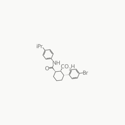 CC(C)c1ccc(NC(=O)[C@@H]2CCC[C@@H](c3ccc(Br)cc3)[C@@H]2C(=O)O)cc1